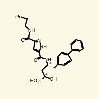 CC(C)CCNC(=O)c1cc(C(=O)N[C@H](Cc2ccc(-c3ccccc3)cc2)C[C@@H](O)C(=O)O)[nH]n1